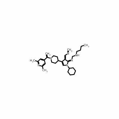 C=N/C=C1/C(C2CCN(C(=C)c3cc(C)nc(C)c3)CC2)=CN(C2CCCCC2)/C1=N/CNCCCC